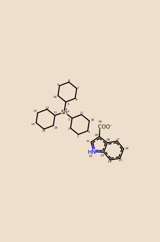 C1CC[CH]([Sn+]([CH]2CCCCC2)[CH]2CCCCC2)CC1.O=C([O-])c1c[nH]c2ccccc12